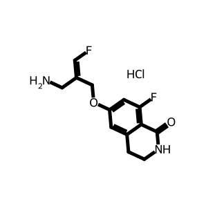 Cl.NC/C(=C/F)COc1cc(F)c2c(c1)CCNC2=O